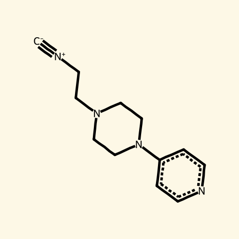 [C-]#[N+]CCN1CCN(c2ccncc2)CC1